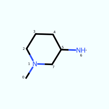 CN1CCCC([NH])C1